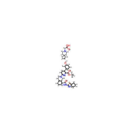 Cc1c(OC[C@@H]2CCC3(CCN(CC(=O)O)CC3)C2)cccc1-c1ccc(N2CCc3cccc(C(=O)Nc4nc5ccccc5s4)c3C2)nc1C(=O)OC(C)(C)C